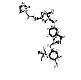 O=C1N=C(NCCn2ccnc2)S/C1=C\c1ccc2c(cnn2Cc2ccc(I)cc2C(F)(F)F)c1